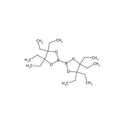 CCC1(CC)OB(B2OC(CC)(CC)C(CC)(CC)O2)OC1(CC)CC